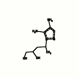 CC(CC(O)CO)n1ncc(N)c1N